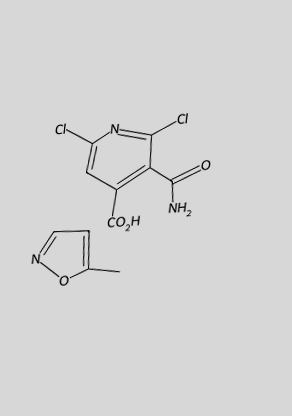 Cc1ccno1.NC(=O)c1c(C(=O)O)cc(Cl)nc1Cl